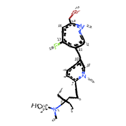 CN(C(=O)O)C(C)(C)Cc1ccc(-c2cnc(Br)cc2F)cn1